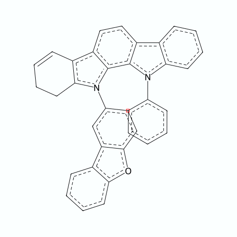 C1=Cc2c(n(-c3ccc4oc5ccccc5c4c3)c3c2ccc2c4ccccc4n(-c4ccccc4)c23)CC1